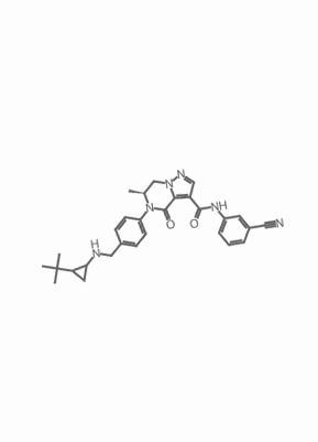 C[C@H]1Cn2ncc(C(=O)Nc3cccc(C#N)c3)c2C(=O)N1c1ccc(CNC2CC2C(C)(C)C)cc1